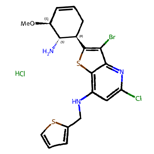 CO[C@H]1C=CC[C@@H](c2sc3c(NCc4cccs4)cc(Cl)nc3c2Br)[C@@H]1N.Cl